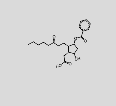 CCCCCC(=O)CC[C@@H]1[C@H](CC(=O)O)[C@H](O)C[C@@H]1OC(=O)c1ccccc1